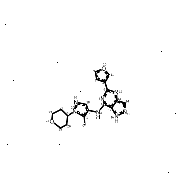 Cc1c(Nc2nc(-c3ccoc3)nc3cn[nH]c23)cnn1C1CCOCC1